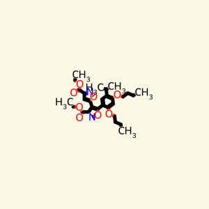 CCCCOc1cc(OCCCC)c(C(C)C)cc1-c1onc(C(=O)OCC)c1-c1cc(C(=O)OCC)no1